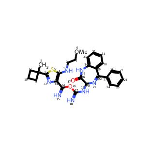 COCCNc1sc(C2(C)CCC2)nc1C(=N)OC(=N)NC1N=C(c2ccccc2)c2ccccc2NC1=O